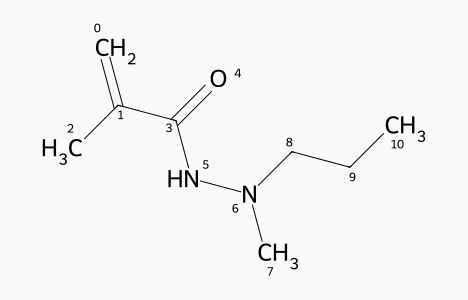 C=C(C)C(=O)NN(C)CCC